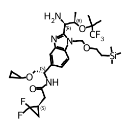 C[C@@H](OC(C)(C)C(F)(F)F)[C@H](N)c1nc2cc([C@@H](COC3CC3)NC(=O)C[C@H]3CC3(F)F)ccc2n1COCC[Si](C)(C)C